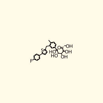 Cc1ccc([C@]2(O)O[C@H](CO)[C@@H](O)C(O)C2O)cc1Cc1ccc(-c2ccc(F)cc2)s1